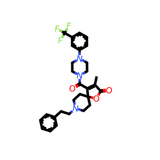 CC1=C(C(=O)N2CCN(c3cccc(C(F)(F)F)c3)CC2)C2(CCN(CCc3ccccc3)CC2)OC1=O